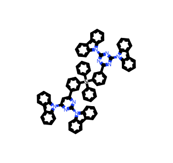 c1ccc([Si](c2ccccc2)(c2cccc(-c3cc(-n4c5ccccc5c5ccccc54)nc(-n4c5ccccc5c5ccccc54)n3)c2)c2cccc(-c3nc(-n4c5ccccc5c5ccccc54)nc(-n4c5ccccc5c5ccccc54)n3)c2)cc1